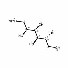 CC(=O)NC[C@H](O)[C@@H](O)[C@H](O)[C@H](O)CO